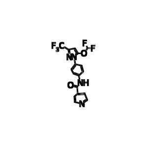 O=C(Nc1ccc(-n2nc(C(F)(F)F)cc2OC(F)F)cc1)c1ccncc1